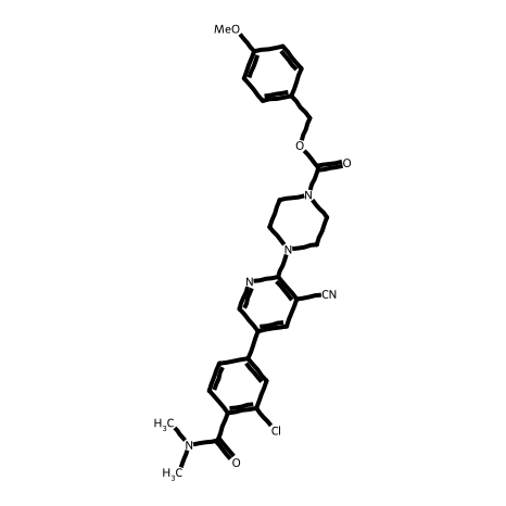 COc1ccc(COC(=O)N2CCN(c3ncc(-c4ccc(C(=O)N(C)C)c(Cl)c4)cc3C#N)CC2)cc1